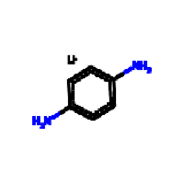 Nc1ccc(N)cc1.[Li]